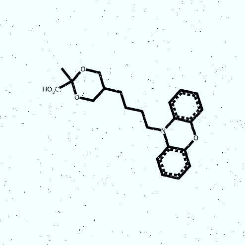 CC1(C(=O)O)OCC(CCCCN2c3ccccc3Oc3ccccc32)CO1